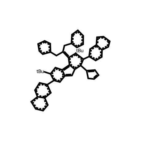 CC(C)(C)c1cc2c(cc1-c1ccc3ccccc3c1)=Cc1c(C3=CC=CC3)c(-c3ccc4ccccc4c3)c(C(C)(C)C)c(=C(Cc3ccccc3)Cc3ccccc3)c1=2